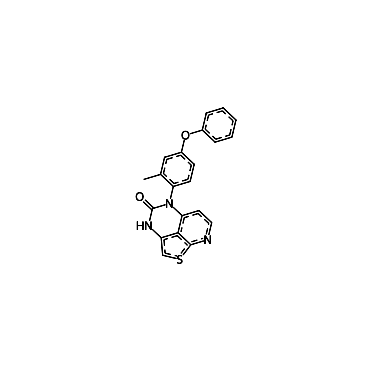 Cc1cc(Oc2ccccc2)ccc1N1C(=O)Nc2csc3nccc1c23